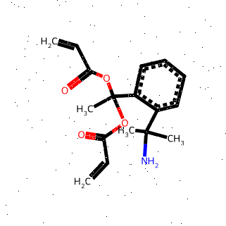 C=CC(=O)OC(C)(OC(=O)C=C)c1ccccc1C(C)(C)N